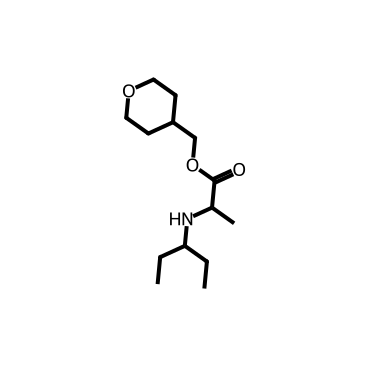 CCC(CC)NC(C)C(=O)OCC1CCOCC1